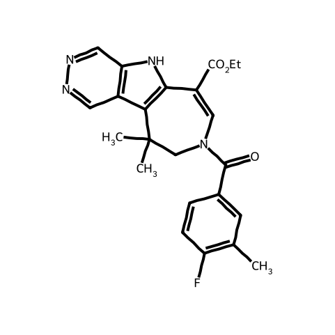 CCOC(=O)C1=CN(C(=O)c2ccc(F)c(C)c2)CC(C)(C)c2c1[nH]c1cnncc21